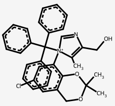 CC1=C(CO)N=C[N+]1(c1cc(Cl)cc2c1OC(C)(C)OC2)C(c1ccccc1)(c1ccccc1)c1ccccc1